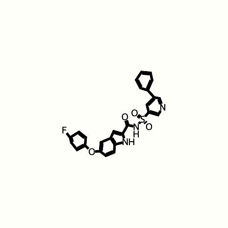 O=C(NS(=O)(=O)c1cncc(-c2ccccc2)c1)c1cc2cc(Oc3ccc(F)cc3)ccc2[nH]1